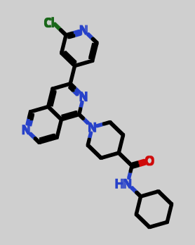 O=C(NC1CCCCC1)C1CCN(c2nc(-c3ccnc(Cl)c3)cc3cnccc23)CC1